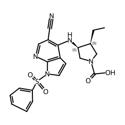 CC[C@H]1CN(C(=O)O)C[C@H]1Nc1c(C#N)cnc2c1ccn2S(=O)(=O)c1ccccc1